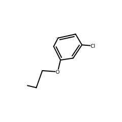 CCCOc1c[c]cc(Cl)c1